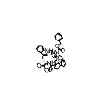 O=C(NC(Cc1ccccc1)P(=O)(O)CC1(C(=O)N[C@@H](Cc2c[nH]c3ccccc23)C(=O)O)CCCC1)OCc1ccccc1